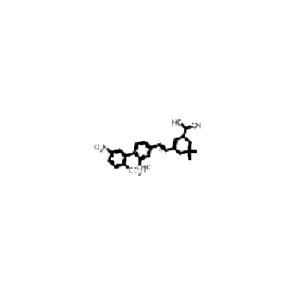 CC1(C)CC(/C=C/c2ccc(-c3cc([N+](=O)[O-])ccc3C(=O)O)c(C=O)c2)=CC(C(C#N)C#N)C1